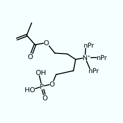 C=C(C)C(=O)OCCC(CCOP(=O)(O)O)[N+](CCC)(CCC)CCC